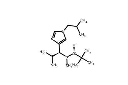 CC(C)Cn1cnc([C@H](C(C)C)N(C)[S@@+]([O-])C(C)(C)C)c1